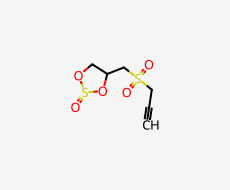 C#CCS(=O)(=O)CC1COS(=O)O1